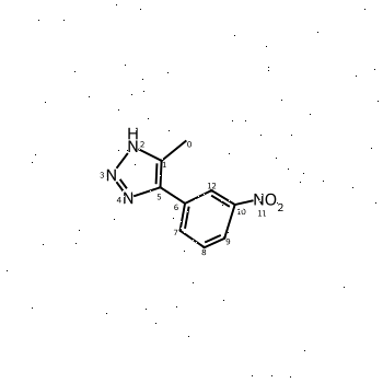 Cc1[nH]nnc1-c1cccc([N+](=O)[O-])c1